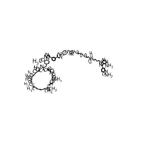 COC1C[C@@H]2CC[C@@H](C)[C@@](O)(O2)C(=O)C(=O)N2CCCCC2C(=O)OC([C@H](N)CC2CCC(n3nncc3-c3cccc(-c4cnc(N5CCN(Cc6cn(CCOCCOCCOCCC(=O)NCCCCn7nc(-c8ccc9oc(N)nc9c8)c8c(N)ncnc87)nn6)CC5)nc4)c3)[C@H](OC)C2)CC(=O)C(C)/C=C(\C)C(O)[C@@H](O)C(=O)C(C)CC(C)/C=C/C=C/C=C/1C